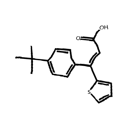 CC(C)(C)c1ccc(/C(=C\C(=O)O)c2cccs2)cc1